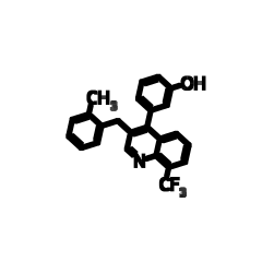 Cc1ccccc1Cc1cnc2c(C(F)(F)F)cccc2c1-c1cccc(O)c1